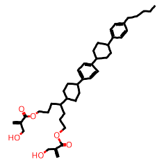 C=C(CO)C(=O)OCCCC(CCCOC(=O)C(=C)CO)C1CCC(c2ccc(C3CCC(c4ccc(CCCCC)cc4)CC3)cc2)CC1